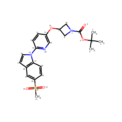 CC(C)(C)OC(=O)N1CC(Oc2ccc(-n3ccc4cc(S(C)(=O)=O)ccc43)nc2)C1